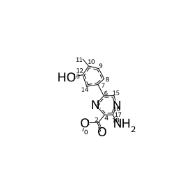 COC(=O)c1nc(-c2ccc(C)c(O)c2)cnc1N